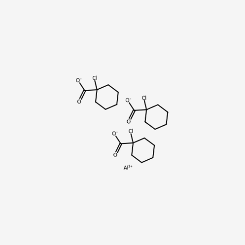 O=C([O-])C1(Cl)CCCCC1.O=C([O-])C1(Cl)CCCCC1.O=C([O-])C1(Cl)CCCCC1.[Al+3]